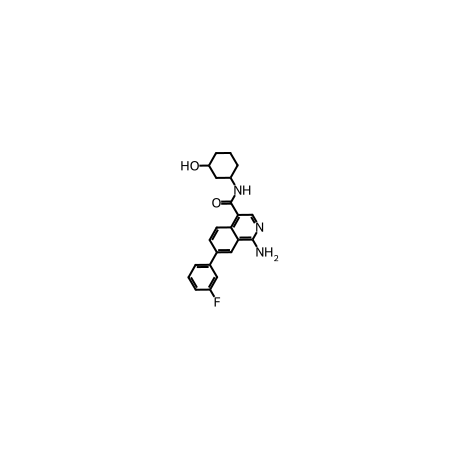 Nc1ncc(C(=O)NC2CCCC(O)C2)c2ccc(-c3cccc(F)c3)cc12